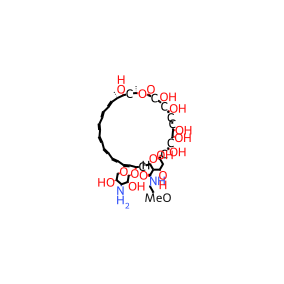 COCCNC(=O)C1[C@@H]2CC(O[C@@H]3OC[C@@H](O)[C@H](N)[C@@H]3O)/C=C/C=C/C=C/C=C/C=C/C=C/C=C/[C@H](C)[C@@H](O)C[C@H](C)OC(=O)CC(O)CC(O)CCC(O)C(O)CC(O)CC(O)(C[C@@H]1O)O2